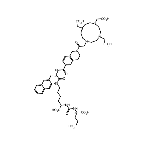 O=C(O)CC[C@H](NC(=O)NC(CCCCNC(=O)[C@H](Cc1ccc2ccccc2c1)NC(=O)c1ccc2c(c1)CCN(C(=O)CN1CCN(CC(=O)O)CCN(CC(=O)O)CCN(CC(=O)O)CC1)C2)C(=O)O)C(=O)O